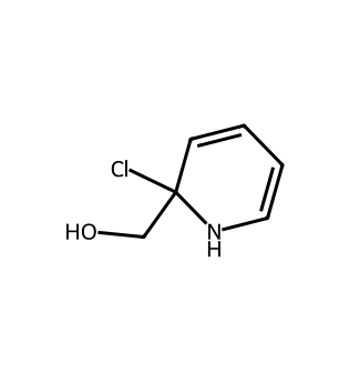 OCC1(Cl)C=CC=CN1